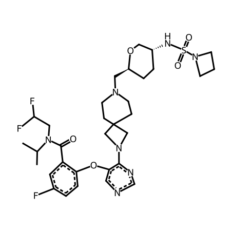 CC(C)N(CC(F)F)C(=O)c1cc(F)ccc1Oc1cncnc1N1CC2(CCN(C[C@@H]3CC[C@@H](NS(=O)(=O)N4CCC4)CO3)CC2)C1